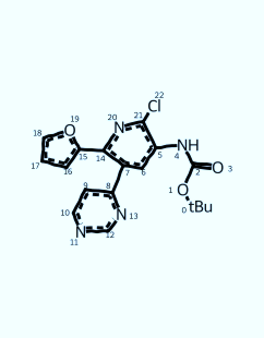 CC(C)(C)OC(=O)Nc1cc(-c2ccncn2)c(-c2ccco2)nc1Cl